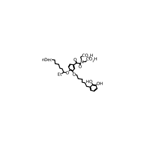 CCCCCCCCCCCCCCCC(CC)Oc1ccc(C(=O)C(=O)N(CC(=O)O)CC(=O)O)cc1OCCCCCCc1cccc(O)c1O